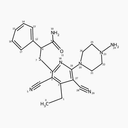 CCc1c(C#N)c(SC(C(N)=O)c2ccccc2)nc(N2CCN(N)CC2)c1C#N